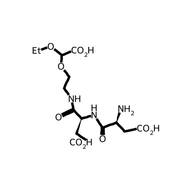 CCOC(OCCNC(=O)[C@H](CC(=O)O)NC(=O)[C@@H](N)CC(=O)O)C(=O)O